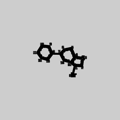 Brc1csc2ccc(-c3ccccc3)cc12